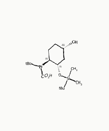 CC(C)(C)N(C(=O)O)[C@H]1CC[C@H](O)C[C@@H]1O[Si](C)(C)C(C)(C)C